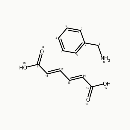 NCc1ccccc1.O=C(O)C=CC=CC(=O)O